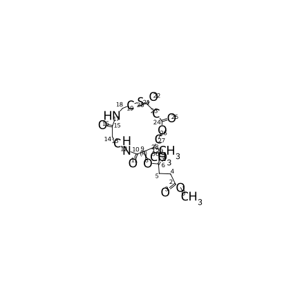 COC(=O)CCC(=O)O[C@H]1C(=O)NCCC(=O)NCCSC(=O)CC(=O)OCC1(C)C